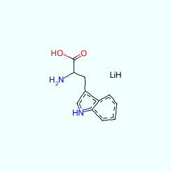 NC(Cc1c[nH]c2ccccc12)C(=O)O.[LiH]